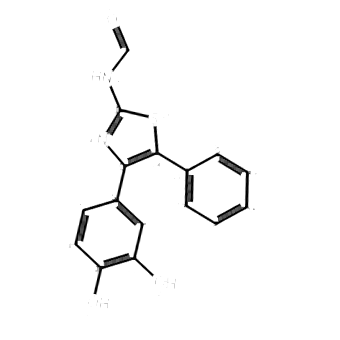 O=CNc1nc(-c2ccc(O)c(O)c2)c(-c2ccccc2)s1